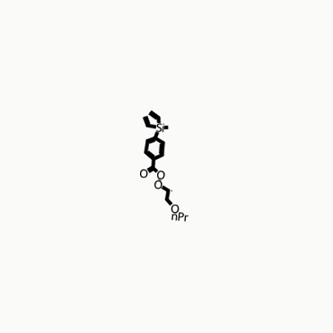 C=C[Si](C)(C=C)c1ccc(C(=O)OO[CH]COCCC)cc1